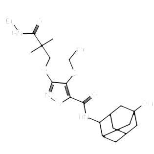 CCNC(=O)C(C)(C)COc1noc(C(=O)NC2C3CC4CC2CC(O)(C4)C3)c1SCC(C)C